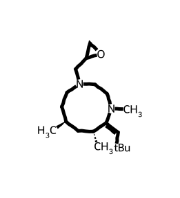 C[C@H]1CCN(CC2CO2)CCN(C)/C(=C/C(C)(C)C)[C@H](C)C1